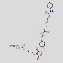 C#CCNC(=O)CCCCCN1C(=O)CC(Sc2ccc(CONC(=O)CCCCCCC(=O)Nc3ccccc3)cc2)C1=O